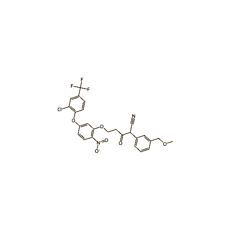 COCc1cccc(C(C#N)C(=O)CCOc2cc(Oc3ccc(C(F)(F)F)cc3Cl)ccc2[N+](=O)[O-])c1